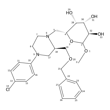 COC1O[C@H](CN2CCN(c3ccc(Cl)cc3)C[C@@H]2COCc2ccccc2)[C@H](O)[C@H](O)[C@H]1O